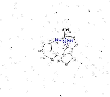 CC1NC23CCCCN2N1C1CCCCC(C1)C31CCCC1